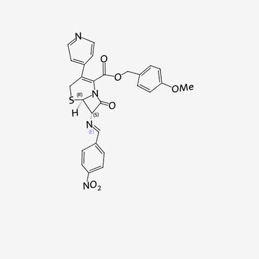 COc1ccc(COC(=O)C2=C(c3ccncc3)CS[C@@H]3[C@@H](/N=C/c4ccc([N+](=O)[O-])cc4)C(=O)N23)cc1